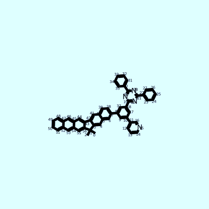 CC1(C)c2cc3cc(-c4cc(-c5cccnc5)cc(-c5nc(-c6ccccc6)nc(-c6ccccc6)n5)c4)ccc3cc2-c2cc3cc4ccccc4cc3cc21